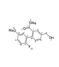 COC(=O)c1cc(CO)ccc1-c1cc(OC)ccc1F